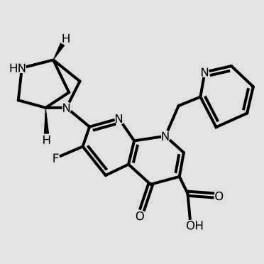 O=C(O)c1cn(Cc2ccccn2)c2nc(N3C[C@@H]4C[C@H]3CN4)c(F)cc2c1=O